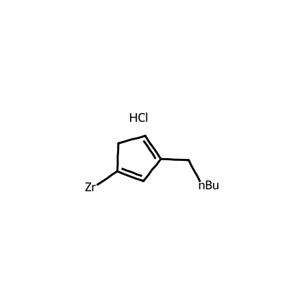 CCCCCC1=CC[C]([Zr])=C1.Cl